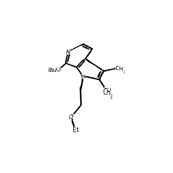 CCOCCn1c(C)c(C)c2ccnc(OCC(C)C)c21